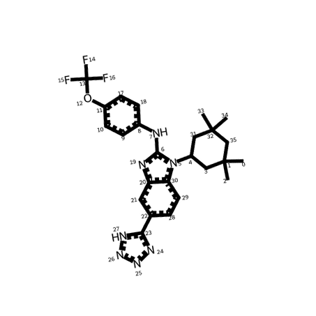 CC1(C)CC(n2c(Nc3ccc(OC(F)(F)F)cc3)nc3cc(-c4nnn[nH]4)ccc32)CC(C)(C)C1